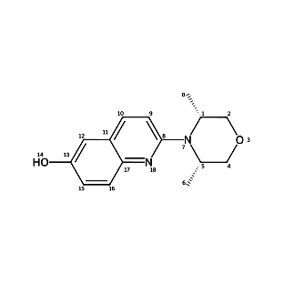 C[C@@H]1COC[C@H](C)N1c1ccc2cc(O)ccc2n1